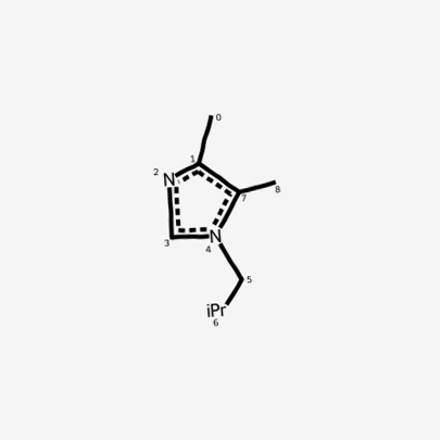 Cc1ncn(CC(C)C)c1C